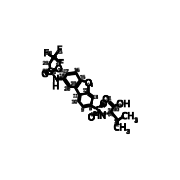 CC(C)[C@H](NS(=O)(=O)c1ccc2c(c1)oc1ccc(NS(=O)(=O)CC(F)(F)F)cc12)C(=O)O